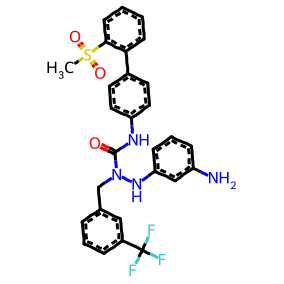 CS(=O)(=O)c1ccccc1-c1ccc(NC(=O)N(Cc2cccc(C(F)(F)F)c2)Nc2cccc(N)c2)cc1